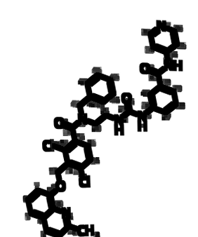 Cc1ccc2cccc(OCc3c(Cl)ccc(C(=O)N(CCNC(=O)Nc4cccc(C(=O)Nc5ccncc5)c4)Cc4ccccc4)c3Cl)c2n1